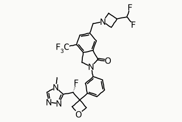 Cn1cnnc1[C@H](F)C1(c2cccc(N3Cc4c(cc(CN5CC(C(F)F)C5)cc4C(F)(F)F)C3=O)c2)COC1